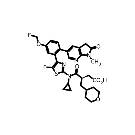 CN1C(=O)Cc2cc(-c3ccc(OCF)cc3-c3nc(N(C(=O)[C@@H](CC(=O)O)CC4CCOCC4)C4CC4)sc3F)cnc21